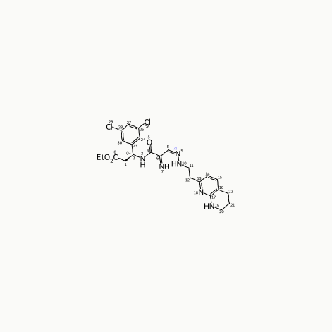 CCOC(=O)C[C@H](NC(=O)C(=N)/C=N\NCCc1ccc2c(n1)NCCC2)c1cc(Cl)cc(Cl)c1